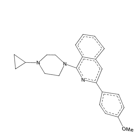 COc1ccc(-c2cc3ccccc3c(N3CCN(C4CC4)CC3)n2)cc1